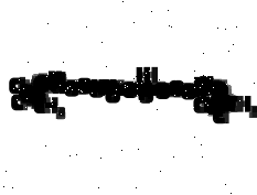 CN1Cc2c(Cl)cc(Cl)cc2[C@H](c2cccc(-c3cn(CCOCCOCCOCCNC(=O)NCCOCCNC(=O)NCCOCCOCCOCCn4cc(-c5cccc([C@@H]6CN(C)Cc7c(Cl)cc(Cl)cc76)c5)nn4)nn3)c2)C1